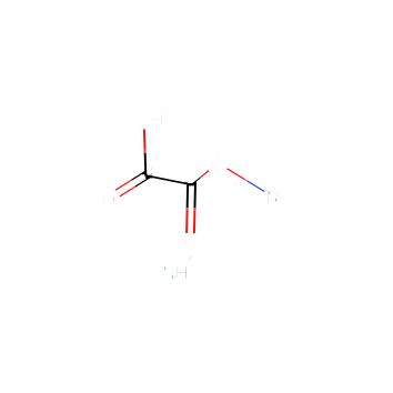 N.NOC(=O)C(=O)O